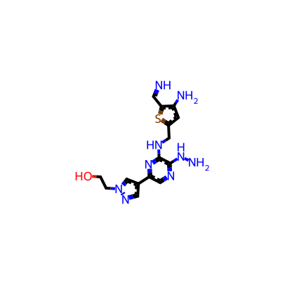 N=Cc1sc(CNc2nc(-c3cnn(CCO)c3)cnc2NN)cc1N